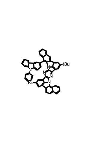 CC(C)(C)c1cc2c3cc4ccccc4c(-c4ccc5c(c4)c4ccccc4n5-c4ccccc4)c3n3c4nc5c6cc(C(C)(C)C)cc7c8ccc9ccccc9c8n(c5nc4c(c1)c23)c76